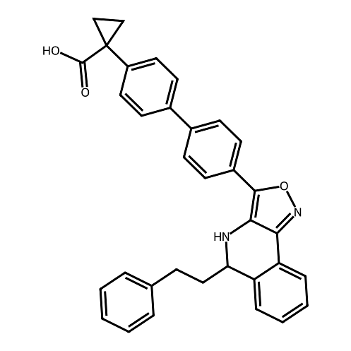 O=C(O)C1(c2ccc(-c3ccc(-c4onc5c4NC(CCc4ccccc4)c4ccccc4-5)cc3)cc2)CC1